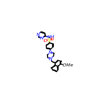 COc1ccc(CN2CCN(c3ccc(S(=O)(=O)Nc4ccncn4)cc3)CC2)c2ccccc12